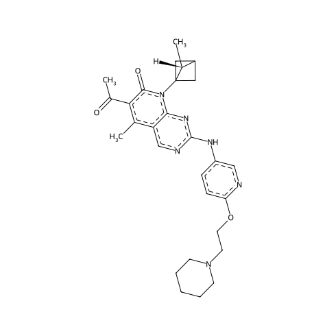 CC(=O)c1c(C)c2cnc(Nc3ccc(OCCN4CCCCC4)nc3)nc2n(C23CC(C2)[C@H]3C)c1=O